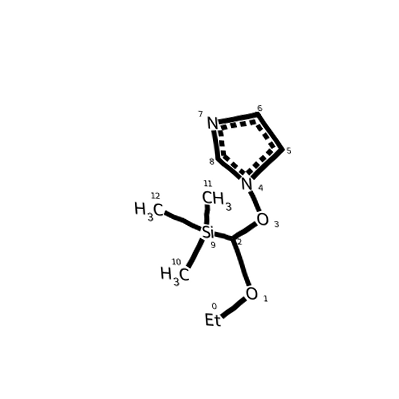 CCOC(On1ccnc1)[Si](C)(C)C